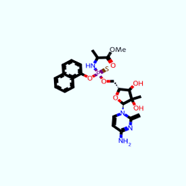 C=C1N=C(N)C=CN1[C@@H]1O[C@H](COP(=S)(NC(C)C(=O)OC)Oc2cccc3ccccc23)C(O)C1(C)O